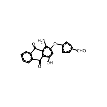 Nc1c(Oc2ccc(C=O)cc2)cc(O)c2c1C(=O)c1ccccc1C2=O